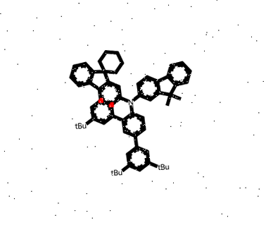 CC(C)(C)c1cccc(-c2cc(-c3cc(C(C)(C)C)cc(C(C)(C)C)c3)ccc2N(c2ccc3c(c2)C(C)(C)c2ccccc2-3)c2ccc3c(c2)C2(CCCCC2)c2ccccc2-3)c1